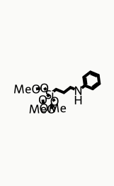 COO[Si](CCCNc1ccccc1)(OOC)OOC